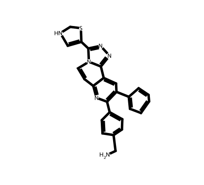 NCc1ccc(-c2nc3ccn4c(C5=CNCS5)nnc4c3cc2-c2ccccc2)cc1